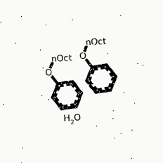 CCCCCCCCOc1ccccc1.CCCCCCCCOc1ccccc1.O